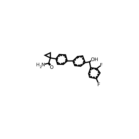 NC(=O)C1(c2ccc(-c3ccc(C(O)c4ccc(F)cc4F)cc3)cc2)CC1